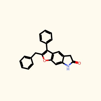 O=C1Cc2cc3c(-c4ccccc4)c(Cc4ccccc4)oc3cc2N1